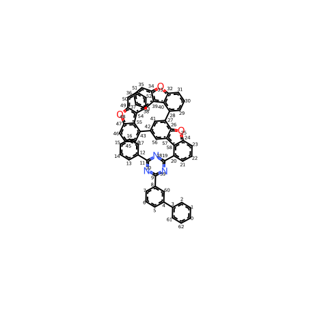 c1ccc(-c2cccc(-c3nc(-c4ccccc4)nc(-c4cccc5oc6c(-c7cccc8oc9ccccc9c78)cc(-c7cccc8oc9ccccc9c78)cc6c45)n3)c2)cc1